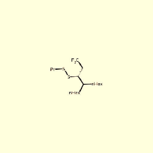 CCCCCCC(CCCCCC)[C@@H](CC(F)(F)F)SSC(C)C